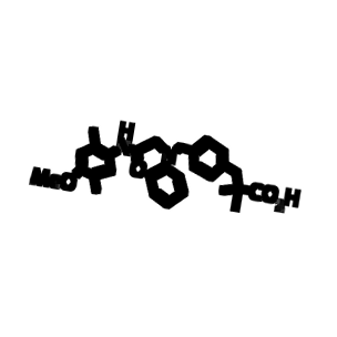 COc1cc(C)c(NC(=O)CN(Cc2ccc(CC(C)(C)C(=O)O)cc2)c2ccccc2)cc1C